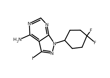 Nc1ncnc2c1c(I)nn2C1CCC(F)(F)CC1